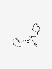 CC(=O)C(OCc1ccccc1)OCc1ccccc1